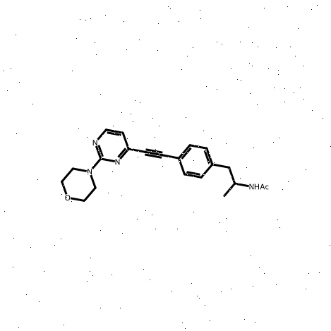 CC(=O)NC(C)Cc1ccc(C#Cc2ccnc(N3CCOCC3)n2)cc1